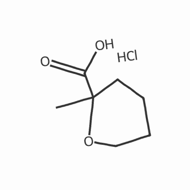 CC1(C(=O)O)CCCCO1.Cl